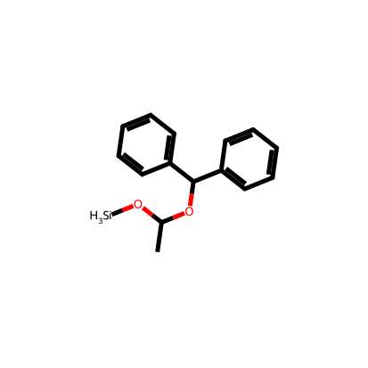 CC(O[SiH3])OC(c1ccccc1)c1ccccc1